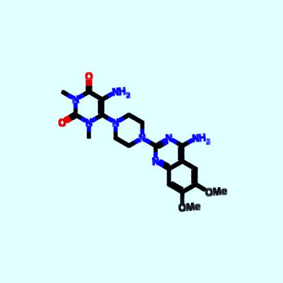 COc1cc2nc(N3CCN(c4c(N)c(=O)n(C)c(=O)n4C)CC3)nc(N)c2cc1OC